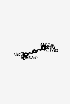 CCCOc1c(OC)cc(CCC2=CCC(CCC3C=C(OC)C(OC(C)CC)=C(OC)C3)C=C2)cc1OC